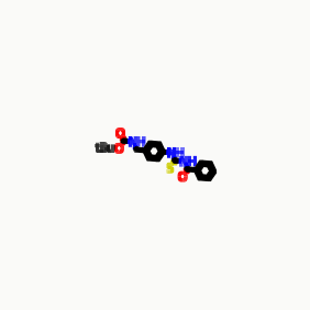 CC(C)(C)OC(=O)NCc1ccc(NC(=S)NC(=O)c2ccccc2)cc1